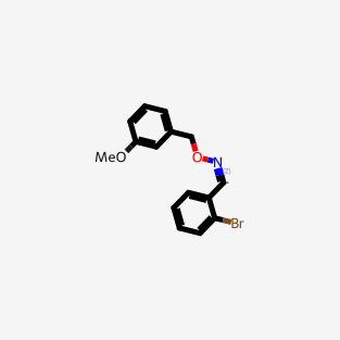 COc1cccc(CO/N=[C]\c2ccccc2Br)c1